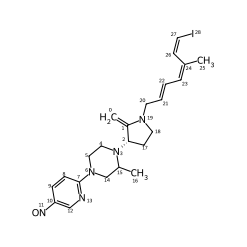 C=C1[C@@H](N2CCN(c3ccc(N=O)cn3)CC2C)CCN1C/C=C/C=C(C)\C=C/I